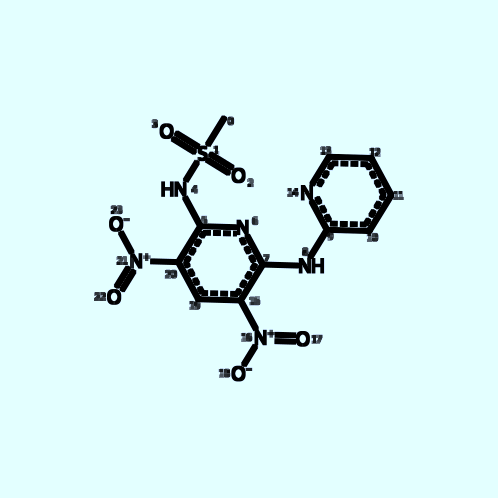 CS(=O)(=O)Nc1nc(Nc2ccccn2)c([N+](=O)[O-])cc1[N+](=O)[O-]